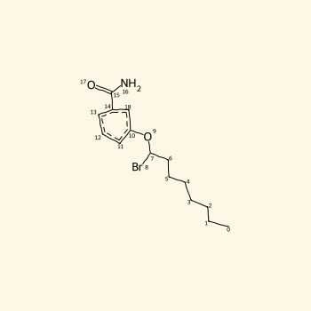 CCCCCCCC(Br)Oc1cccc(C(N)=O)c1